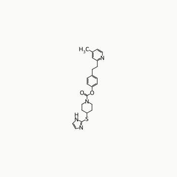 Cc1ccnc(CCc2ccc(OC(=O)N3CCC(Sc4ncc[nH]4)CC3)cc2)c1